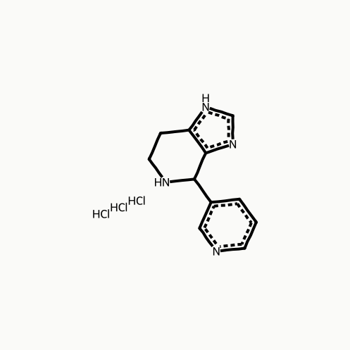 Cl.Cl.Cl.c1cncc(C2NCCc3[nH]cnc32)c1